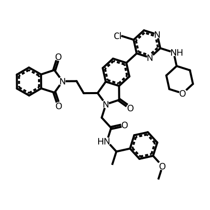 COc1cccc(C(C)NC(=O)CN2C(=O)c3cc(-c4nc(NC5CCOCC5)ncc4Cl)ccc3C2CCN2C(=O)c3ccccc3C2=O)c1